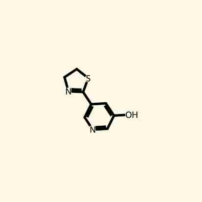 Oc1cncc(C2=NCCS2)c1